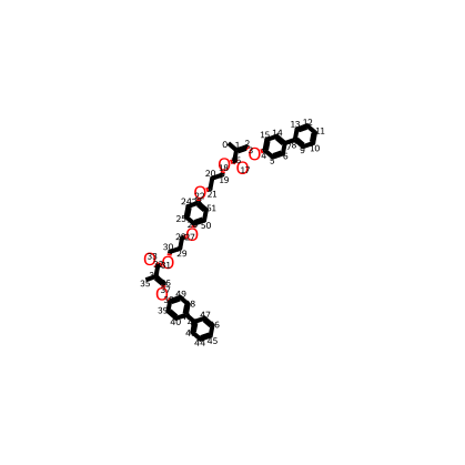 CC(=COc1ccc(-c2ccccc2)cc1)C(=O)OCCCOc1ccc(OCCCOC(=O)C(C)=COc2ccc(-c3ccccc3)cc2)cc1